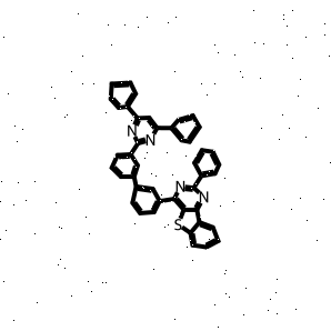 c1ccc(-c2cc(-c3ccccc3)nc(-c3cccc(-c4cccc(-c5nc(-c6ccccc6)nc6c5sc5ccccc56)c4)c3)n2)cc1